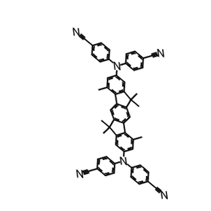 Cc1cc(N(c2ccc(C#N)cc2)c2ccc(C#N)cc2)cc2c1-c1cc3c(cc1C2(C)C)-c1c(C)cc(N(c2ccc(C#N)cc2)c2ccc(C#N)cc2)cc1C3(C)C